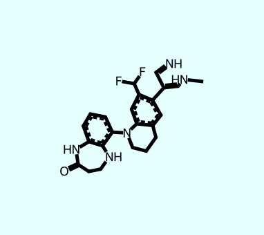 CN/C=C(\C=N)c1cc2c(cc1C(F)F)N(c1cccc3c1NCCC(=O)N3)CCC2